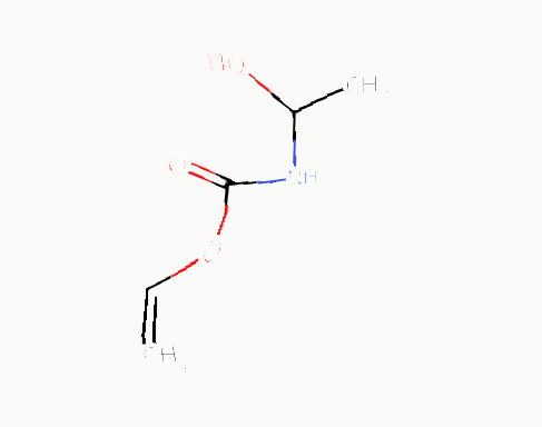 C=COC(=O)NC(C)O